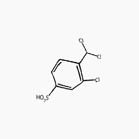 O=S(=O)(O)c1ccc(C(Cl)Cl)c(Cl)c1